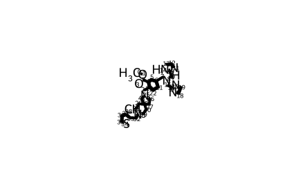 COC(=O)c1cc(CN(Cc2ncc[nH]2)Cc2ncc[nH]2)ccc1CN1CCC2(CCN(Cc3sccc3C)CC2)C1